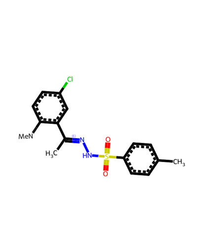 CNc1ccc(Cl)cc1/C(C)=N/NS(=O)(=O)c1ccc(C)cc1